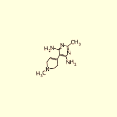 Cc1nc(N)c(C2=CCN(C)CC2)c(N)n1